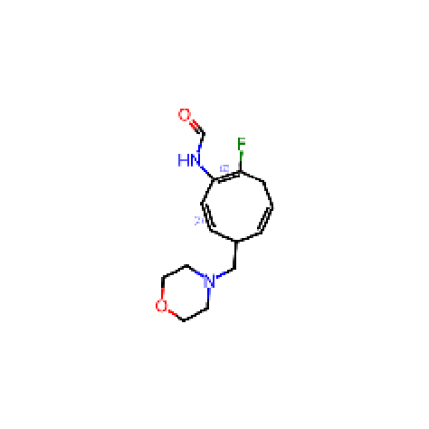 O=CNC1=C(\F)CC=CC(CN2CCOCC2)/C=C\1